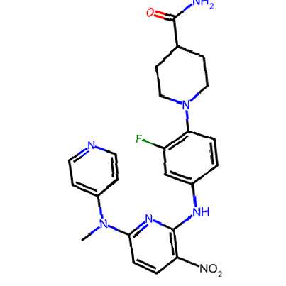 CN(c1ccncc1)c1ccc([N+](=O)[O-])c(Nc2ccc(N3CCC(C(N)=O)CC3)c(F)c2)n1